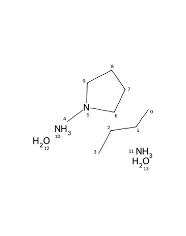 CCCC.CN1CCCC1.N.N.O.O